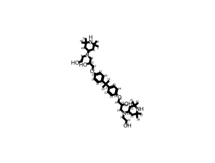 CC1(C)CC(N(CCO)CC(O)COc2ccc(C(C)(C)c3ccc(OCC(O)CN(CCO)C4CC(C)(C)NC(C)(C)C4)cc3)cc2)CC(C)(C)N1